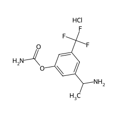 CC(N)c1cc(OC(N)=O)cc(C(F)(F)F)c1.Cl